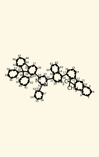 CC1(C)c2cc3ccccc3cc2-c2cccc(-c3ccc(-c4cc(-c5ccc6c(c5)C(c5ccccc5)(c5ccccc5)c5ccccc5-6)nc(-c5ccccc5)n4)c4ccccc34)c21